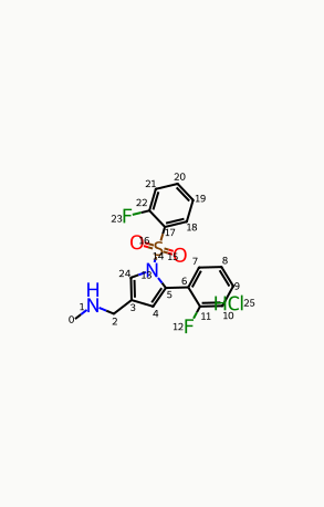 CNCc1cc(-c2ccccc2F)n(S(=O)(=O)c2ccccc2F)c1.Cl